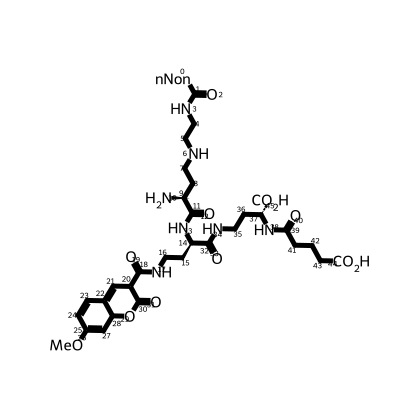 CCCCCCCCCC(=O)NCCNCC[C@H](N)C(=O)N[C@H](CCNC(=O)C1C=C2C=CC(OC)=CC2OC1=O)C(=O)NCC[C@@H](NC(=O)CCCC(=O)O)C(=O)O